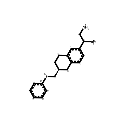 CCCC(CN)c1ccc2c(c1)CC[C@H](CSc1ccccc1)C2